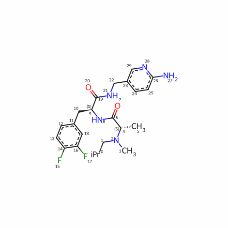 CC(C)CN(C)[C@@H](C)C(=O)N[C@@H](Cc1ccc(F)c(F)c1)C(=O)NCc1ccc(N)nc1